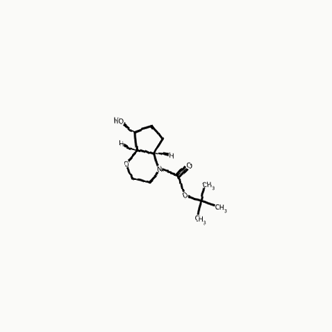 CC(C)(C)OC(=O)N1CCO[C@@H]2[C@@H](O)CC[C@@H]21